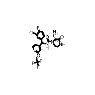 C[C@@H]1C(=O)NCCN1C(=O)NC(c1ccnc(OCC(F)(F)F)c1)c1ccc(F)c(Cl)c1